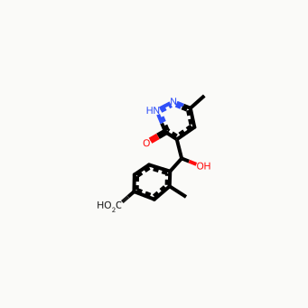 Cc1cc(C(O)c2ccc(C(=O)O)cc2C)c(=O)[nH]n1